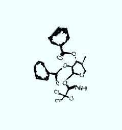 C[C@H]1COC(OC(=N)C(Cl)(Cl)Cl)[C@@H](OC(=O)c2ccccc2)[C@@H]1OC(=O)c1ccccc1